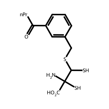 CCCC(=O)c1cccc(CSC(S)C(N)(S)C(=O)O)c1